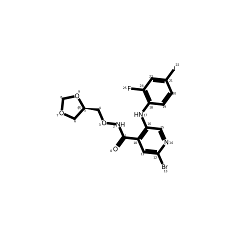 O=C(NOC[C@H]1COCO1)c1cc(Br)ncc1Nc1ccc(I)cc1F